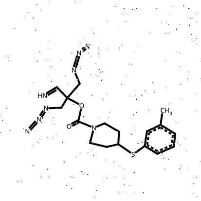 Cc1cccc(SC2CCN(C(=O)OC(C=N)(CN=[N+]=[N-])CN=[N+]=[N-])CC2)c1